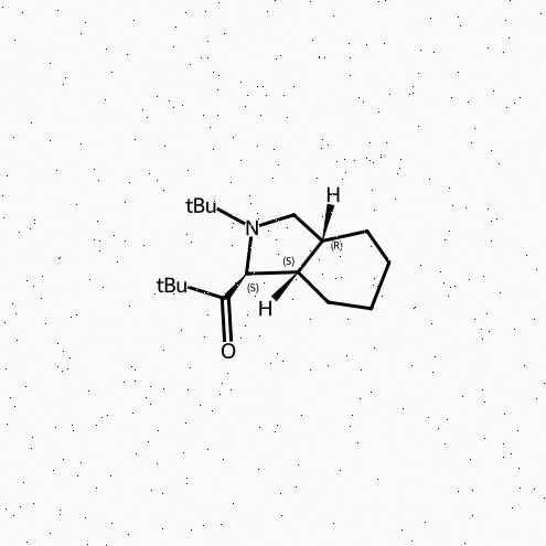 CC(C)(C)C(=O)[C@@H]1[C@H]2CCCC[C@H]2CN1C(C)(C)C